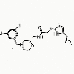 O=C(O)CC1=CSC(SCC(=O)NC[C@H]2CN(Cc3cc(Cl)cc(Cl)c3)CCO2)N1